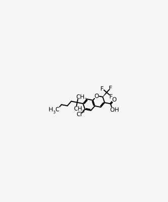 CCCCC(C)(C)c1cc2c(cc1Cl)C=C(C(=O)O)[C@H](C(F)(F)F)O2